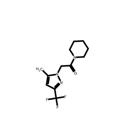 Cc1cc(C(F)(F)F)nn1CC(=O)N1CCCCC1